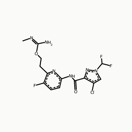 C/N=C(/N)OCCc1nc(NC(=O)c2nn(C(F)F)cc2Cl)ccc1F